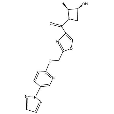 C[C@H]1[C@@H](O)CN1C(=O)c1coc(COc2ccc(-n3nccn3)cn2)n1